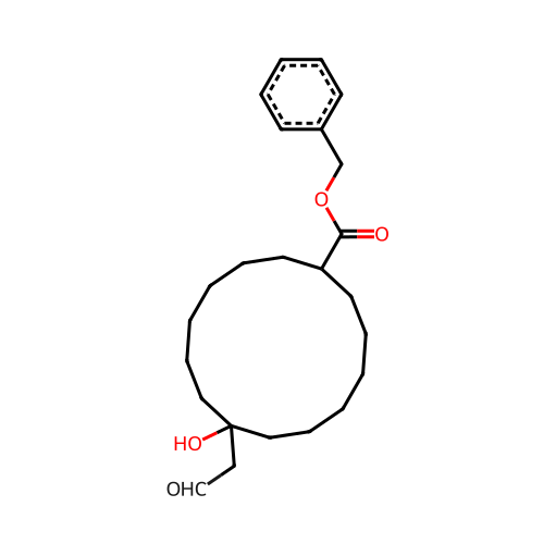 O=CCC1(O)CCCCCCC(C(=O)OCc2ccccc2)CCCCCC1